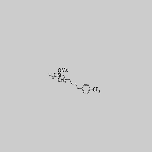 CO[Si](C)(C)CCCCCCc1ccc(C(F)(F)F)cc1